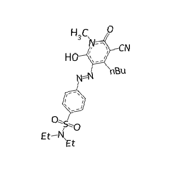 CCCCc1c(/N=N/c2ccc(S(=O)(=O)N(CC)CC)cc2)c(O)n(C)c(=O)c1C#N